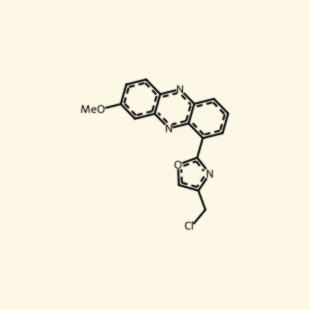 COc1ccc2nc3cccc(-c4nc(CCl)co4)c3nc2c1